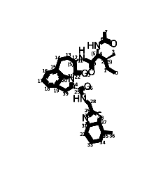 CC[C@H](C)[C@H](NC(C)=O)C(=O)N[C@H]1CCc2cccc3c2N(C1=O)[C@H](C(=O)NCC1=NC2C=CCC(C)C2S1)C3